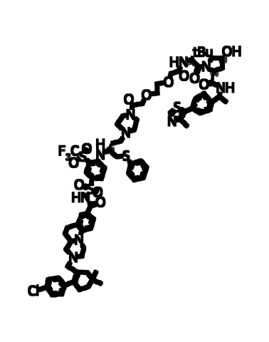 Cc1ncsc1-c1ccc(C(C)NC(=O)[C@@H]2C[C@@H](O)CN2C(=O)[C@@H](NC(=O)COCCOCC(=O)N2CCN(CC[C@H](CSc3ccccc3)Nc3ccc(S(=O)(=O)NC(=O)c4ccc5c(c4)CCC4CN(CC6=C(c7ccc(Cl)cc7)CCC(C)(C)C6)CCN54)cc3S(=O)(=O)C(F)(F)F)CC2)C(C)(C)C)cc1